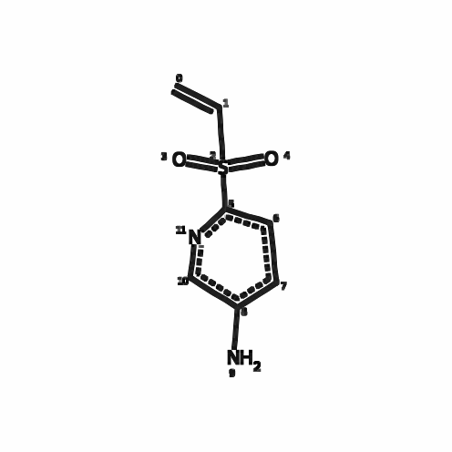 C=CS(=O)(=O)c1ccc(N)cn1